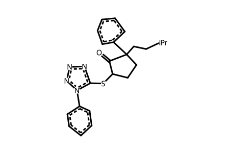 CC(C)CCC1(c2ccccc2)CCC(Sc2nnnn2-c2ccccc2)C1=O